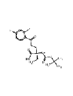 CC[C@@](CCC(=O)c1ccc(F)cc1F)(NC(=O)OC(C)(C)C)C(=O)O